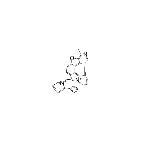 Cc1ncc2c3ccc[n+]4c3c3c(ccc5oc1c2c53)[C@]41C[n+]2ccccc2-c2ccccc21